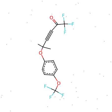 CC(C)(C#CC(=O)C(F)(F)F)Oc1ccc(OC(F)(F)F)cc1